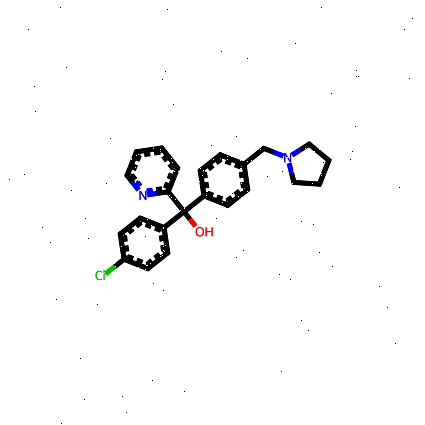 OC(c1ccc(Cl)cc1)(c1ccc(CN2CCCC2)cc1)c1ccccn1